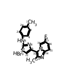 Br.Cc1ccc(Nc2nc(-c3c(C)nc4ccc(F)cn34)cs2)cc1